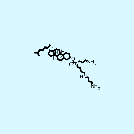 C/C(=C/CCC(C)C)[C@H]1CC[C@H]2[C@@H]3CC=C4C[C@@H](OC(=O)N(CCCN)CCCCNCCCN)CC[C@]4(C)[C@H]3CC[C@]12C